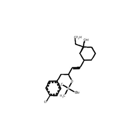 CC(C)(C)[Si](C)(C)OC(C=CC1CCCC(O)(CC(=O)O)C1)Cc1ccc(Cl)cc1